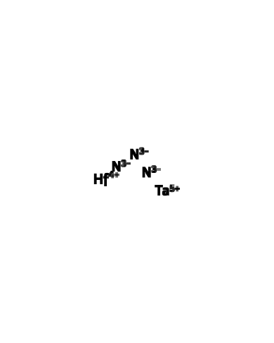 [Hf+4].[N-3].[N-3].[N-3].[Ta+5]